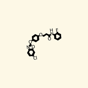 O=C(CCOc1ccc(Oc2nc3ccc(Cl)cc3o2)cc1)Nc1ccccc1F